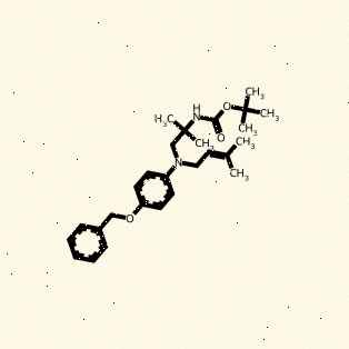 CC(C)=CCN(CC(C)(C)NC(=O)OC(C)(C)C)c1ccc(OCc2ccccc2)cc1